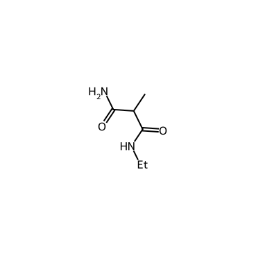 CCNC(=O)C(C)C(N)=O